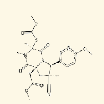 COC(=O)S[C@@]1(C)C(=O)N2[C@@H](c3ccc(OC)nc3)[C@@](C)(C#N)C[C@]2(SC(=O)OC)C(=O)N1C